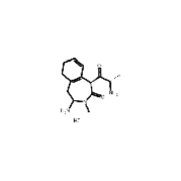 C[C@H](N)C(=O)[C@H]1C(=O)N(C)C(N)CC2=C1C=CCC2.Cl